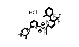 Cc1ccccc1-c1nc(NS(=O)(=O)c2cccc(N3CCNC(C)C3)n2)ccc1C(F)(F)F.Cl